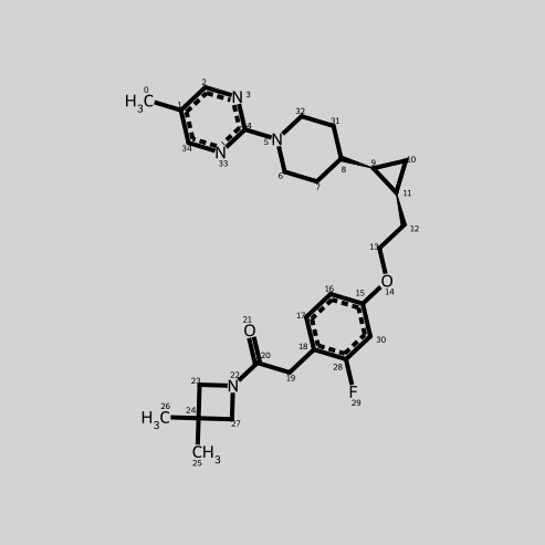 Cc1cnc(N2CCC([C@H]3C[C@H]3CCOc3ccc(CC(=O)N4CC(C)(C)C4)c(F)c3)CC2)nc1